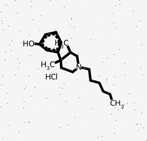 CCCCCCN1CCC(C)(c2cccc(O)c2)C(C)C1.Cl